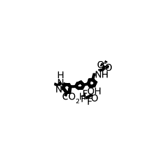 Cc1nc2c(C(=O)O)cc(-c3ccc(-c4cccc(CNCCS(C)(=O)=O)c4)cc3)cc2[nH]1.O=C(O)C(F)(F)F